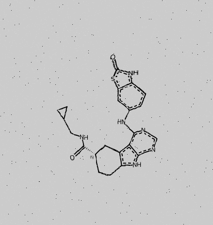 O=C(NCC1CC1)[C@H]1CCc2[nH]c3ncnc(Nc4ccc5[nH]c(=O)sc5c4)c3c2C1